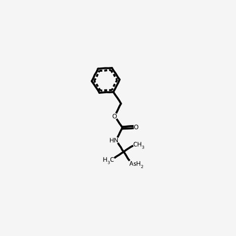 CC(C)([AsH2])NC(=O)OCc1ccccc1